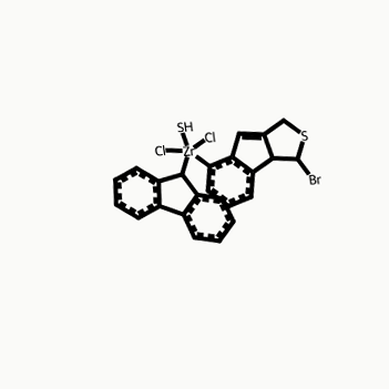 [SH][Zr]([Cl])([Cl])([c]1cccc2c1C=C1CSC(Br)C12)[CH]1c2ccccc2-c2ccccc21